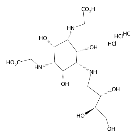 Cl.Cl.Cl.O=C(O)CN[C@@H]1[C@H](O)[C@H](NCC(=O)O)[C@H](O)[C@H](NC[C@H](O)[C@H](O)CO)[C@@H]1O